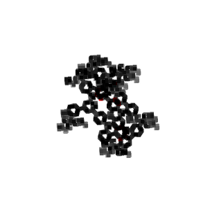 CC(C)(C)c1cccc(-c2cc(-c3ccc4c(c3)B3c5cc(-c6cccc(-n7c8ccc(C(C)(C)C)cc8c8cc(C(C)(C)C)ccc87)n6)ccc5N(c5ccccc5-c5ccccc5)c5cc(-n6c7cc(C(C)(C)C)ccc7c7ccc(C(C)(C)C)cc76)cc(c53)N4c3ccccc3-c3ccccc3)nc(-n3c4ccc(C(C)(C)C)cc4c4cc(C(C)(C)C)ccc43)c2)c1